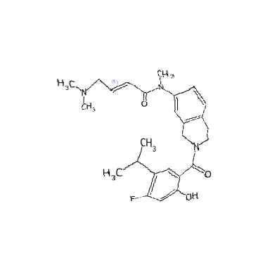 CC(C)c1cc(C(=O)N2CCc3ccc(N(C)C(=O)/C=C/CN(C)C)cc3C2)c(O)cc1F